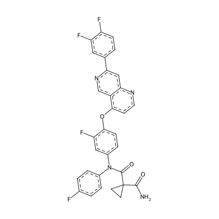 NC(=O)C1(C(=O)N(c2ccc(F)cc2)c2ccc(Oc3ccnc4cc(-c5ccc(F)c(F)c5)ncc34)c(F)c2)CC1